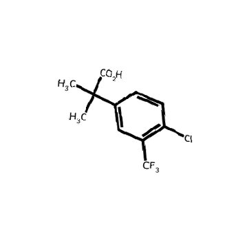 CC(C)(C(=O)O)c1ccc(Cl)c(C(F)(F)F)c1